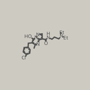 CCN(CC)CCCNC(=O)c1cnn2c(O)c(Cc3ccc(Cl)cc3)c(C)nc12